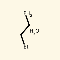 CCCCP.O